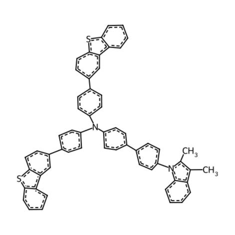 Cc1c(C)n(-c2ccc(-c3ccc(N(c4ccc(-c5ccc6sc7ccccc7c6c5)cc4)c4ccc(-c5ccc6sc7ccccc7c6c5)cc4)cc3)cc2)c2ccccc12